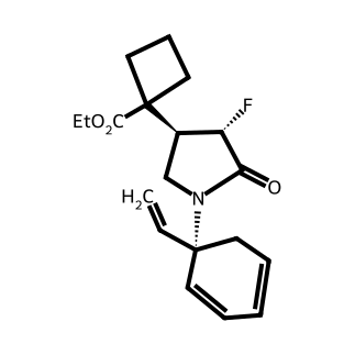 C=C[C@]1(N2C[C@@H](C3(C(=O)OCC)CCC3)[C@H](F)C2=O)C=CC=CC1